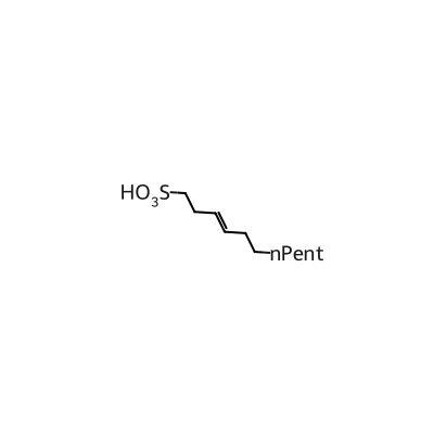 CCCCCCC/C=C/CCS(=O)(=O)O